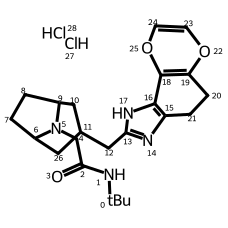 CC(C)(C)NC(=O)CN1C2CCC1CC(Cc1nc3c([nH]1)C1=C(CC3)OC=CO1)C2.Cl.Cl